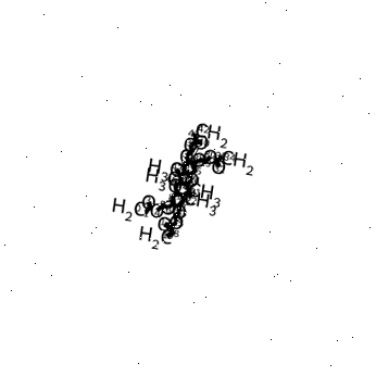 C=CC(=O)OCOc1cc2c(cc1OCOC(=O)C=C)C(C)(C)C1Oc3cc(OCOC(=O)C=C)c(OCOC(=O)C=C)cc3C(C)(C)C1O2